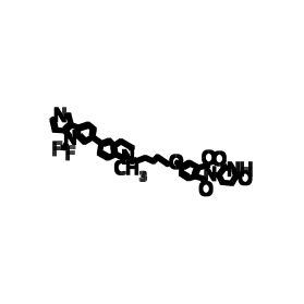 CC1c2ccc(-c3ccc4c5cnccc5n(C(F)F)c4c3)cc2CCN1CCCCCOc1ccc2c(c1)C(=O)N(C1CCC(=O)NC1=O)C2=O